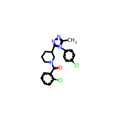 Cc1nnc(C2CCCN(C(=O)c3ccccc3Cl)C2)n1-c1ccc(Cl)cc1